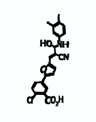 Cc1ccc(NC(O)/C(C#N)=C/c2ccc(-c3ccc(Cl)c(C(=O)O)c3)o2)cc1C